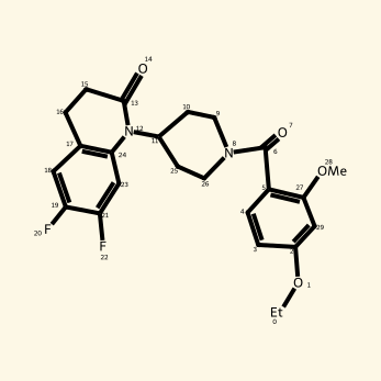 CCOc1ccc(C(=O)N2CCC(N3C(=O)CCc4cc(F)c(F)cc43)CC2)c(OC)c1